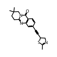 CC1=NCC(C#Cc2ccc3c(=O)n4c(nc3c2)CCC(C)(C)C4)S1